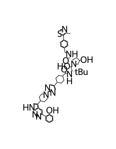 Cc1ncsc1-c1ccc(CNC(=O)[C@@H]2C[C@@H](O)CN2C(O)[C@@H](NC(=O)C2CCC(c3cnc(N4CCC(c5c[nH]c6nnc(-c7ccccc7O)cc56)CC4)nc3)CC2)C(C)(C)C)cc1